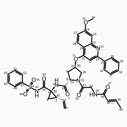 C=C[C@@H]1C[C@]1(NC(=O)[C@@H]1C[C@@H](Oc2cc(-c3ccccc3)nc3cc(OC)ccc23)CN1C(=O)CNC(=O)/C=C/C)C(=O)NS(=O)(=O)c1ccccc1